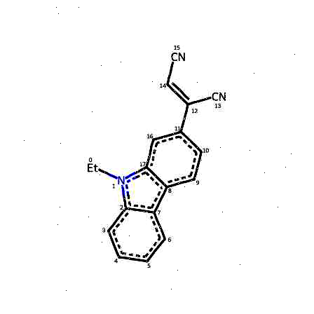 CCn1c2ccccc2c2ccc(C(C#N)=CC#N)cc21